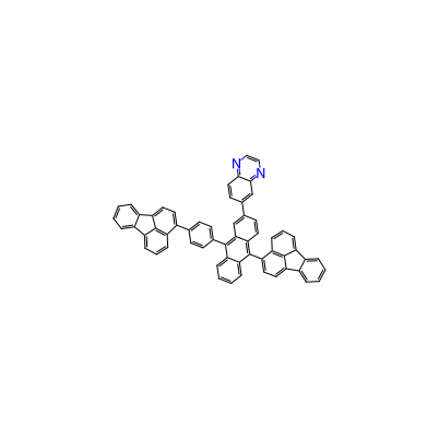 c1ccc2c(c1)-c1cccc3c(-c4ccc(-c5c6ccccc6c(-c6ccc7c8c(cccc68)-c6ccccc6-7)c6ccc(-c7ccc8nccnc8c7)cc56)cc4)ccc-2c13